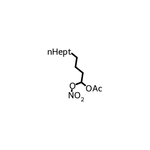 CCCCCCCCCCC(OC(C)=O)O[N+](=O)[O-]